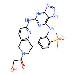 CP(C)(=O)c1ccccc1Nc1nc(Nc2ccc3c(n2)CCN(C(=O)CO)C3)nc2nc[nH]c12